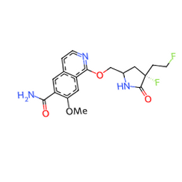 COc1cc2c(OCC3C[C@@](F)(CCF)C(=O)N3)nccc2cc1C(N)=O